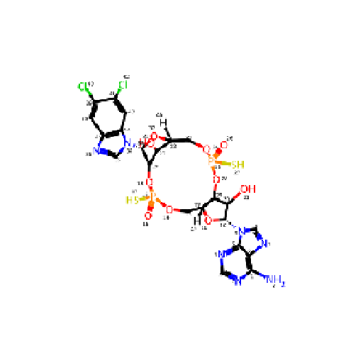 Nc1ncnc2c1ncn2[C@@H]1O[C@@H]2COP(=O)(S)OC3C(O)[C@@H](COP(=O)(S)OC2C1O)O[C@H]3n1cnc2cc(Cl)c(Cl)cc21